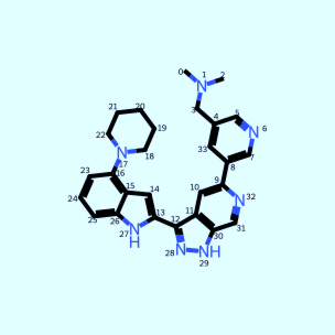 CN(C)Cc1cncc(-c2cc3c(-c4cc5c(N6CCCCC6)cccc5[nH]4)n[nH]c3cn2)c1